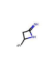 CCCC1CC(=N)N1